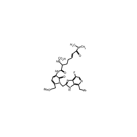 COCc1ccc(NC(=O)C(CCC=CC(=O)N(C)C)NC(=O)O)c(=O)n1Cc1nc2c(F)cnc(CC(C)C)c2[nH]1